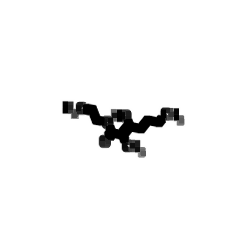 C=CCOC(=O)C(C)=C(O)CCCC